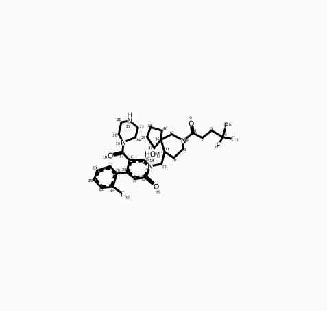 O=C(CCC(F)(F)F)N1CC[C@@](O)(Cn2cc(C(=O)N3CCNCC3)c(-c3ccccc3F)cc2=O)C2(CCCC2)C1